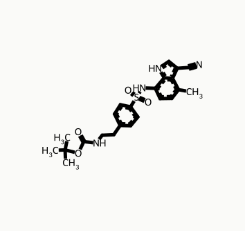 Cc1ccc(NS(=O)(=O)c2ccc(CCNC(=O)OC(C)(C)C)cc2)c2[nH]cc(C#N)c12